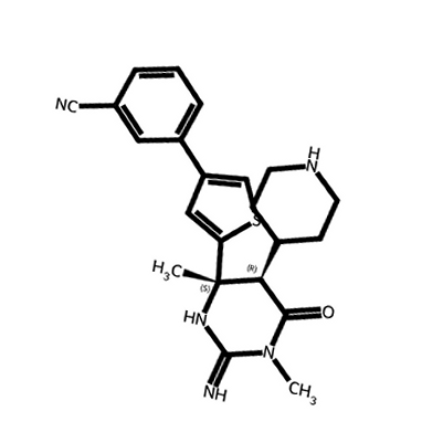 CN1C(=N)N[C@](C)(c2cc(-c3cccc(C#N)c3)cs2)[C@@H](C2CCNCC2)C1=O